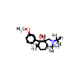 [2H]C([2H])([2H])N(C[C@]1([2H])CCCC([2H])([2H])[C@@]1(O)c1cccc(OC)c1)C([2H])([2H])[2H]